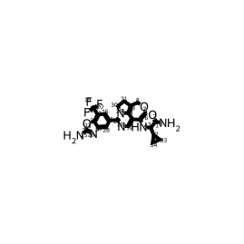 NC(=O)C(NC1=COCC2=C3C1=CN=C(c1cc(C(F)(F)F)c4oc(N)nc4c1)N3CC2)C1CC1